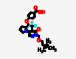 C[Si](C)(C)CCOCn1ncc(N2CCC[C@H]2COC2CCC(C(=O)O)CC2)c(C(F)(F)F)c1=O